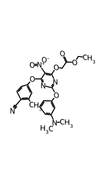 CCOC(=O)COc1nc(Oc2cccc(N(C)C)c2)nc(Oc2ccc(C#N)c(C)c2)c1[N+](=O)[O-]